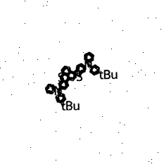 CC(C)(C)C1=CCC(N(c2ccccc2)c2ccc3c(c2)sc2cc4c5c(cccc5c23)Sc2cc(N(c3ccccc3)c3ccc(C(C)(C)C)cc3)ccc2-4)C=C1